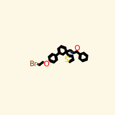 O=C(/C=C/C1(c2cccs2)C=CC=C(c2ccc(OCCBr)cc2)C1)c1ccccc1